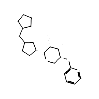 O[C@@H]1[C@H](O)[C@@H](Nc2ccccn2)CO[C@@H]1C1CCC(CC2CCCC2)C1